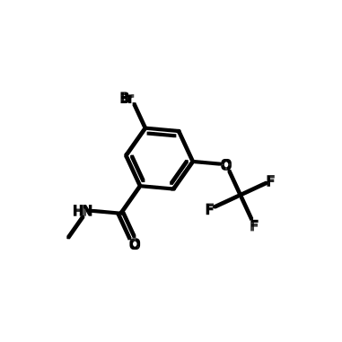 CNC(=O)c1cc(Br)cc(OC(F)(F)F)c1